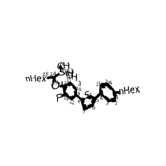 CCCCCCc1ccc(-c2ccc(-c3ccc(OC(CCCCCC)[SiH](C)C)c(F)c3)s2)cc1